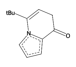 CC(C)(C)C1=CCC(=O)c2cccn21